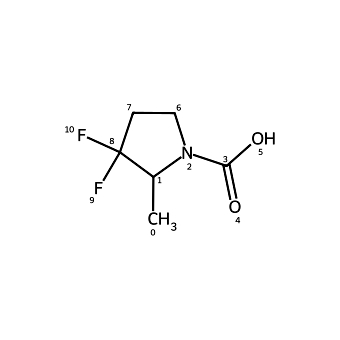 CC1N(C(=O)O)CCC1(F)F